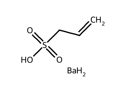 C=CCS(=O)(=O)O.[BaH2]